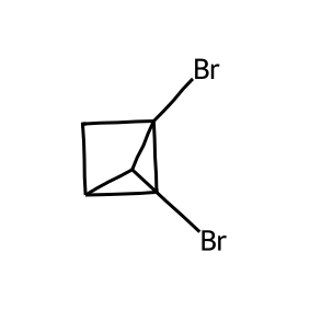 BrC1C2CC1(Br)C2